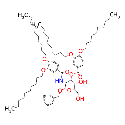 CCCCCCCCCCOc1ccc(C(=O)N[C@H]2[C@H](OCc3ccccc3)O[C@H](CO)[C@@H](O)[C@@H]2OC(=O)c2ccc(OCCCCCCCCCC)c(OCCCCCCCCCC)c2)cc1OCCCCCCCCCC